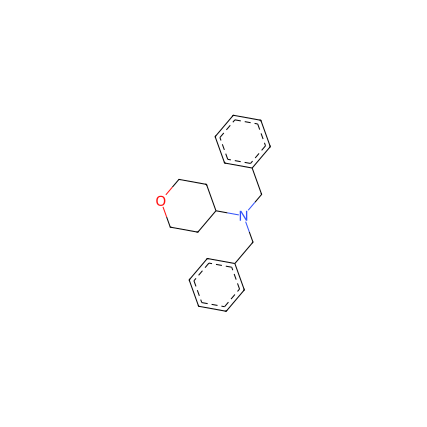 c1ccc(CN(Cc2ccccc2)C2CCOCC2)cc1